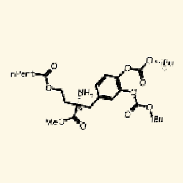 CCCCCC(=O)OCC[C@@](N)(Cc1ccc(OC(=O)O[C@@H](C)CC)c(OC(=O)OC(C)CC)c1)C(=O)OC